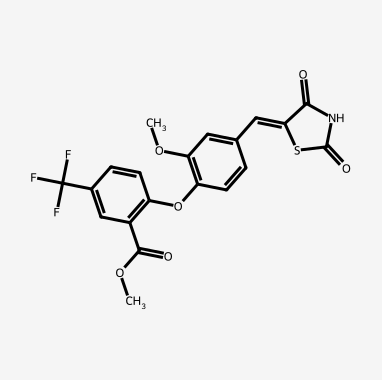 COC(=O)c1cc(C(F)(F)F)ccc1Oc1ccc(/C=C2\SC(=O)NC2=O)cc1OC